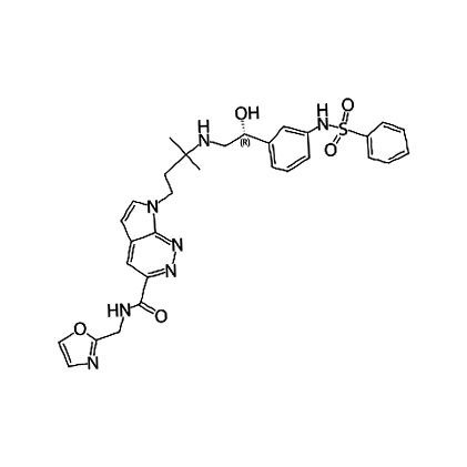 CC(C)(CCn1ccc2cc(C(=O)NCc3ncco3)nnc21)NC[C@H](O)c1cccc(NS(=O)(=O)c2ccccc2)c1